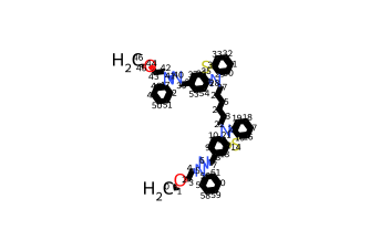 C=COCCN(/N=C/c1ccc2c(c1)Sc1ccccc1N2CCCCCCN1c2ccccc2Sc2cc(/C=N/N(CCOC=C)c3ccccc3)ccc21)c1ccccc1